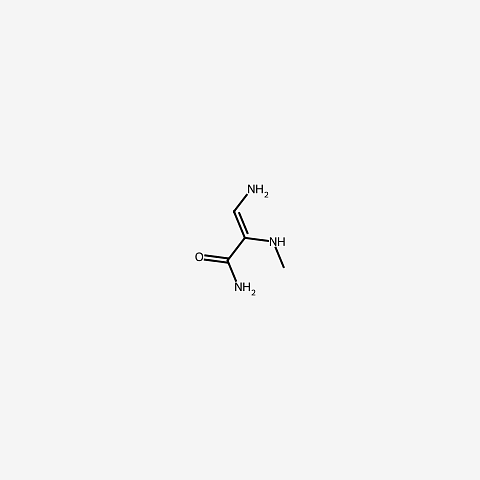 CN/C(=C\N)C(N)=O